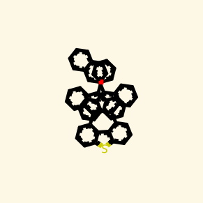 c1ccc(-c2c3ccccc3c(-c3cccc4sc5cccc(-c6c7ccccc7c(-c7ccc8ccccc8c7)c7ccccc67)c5c34)c3ccccc23)cc1